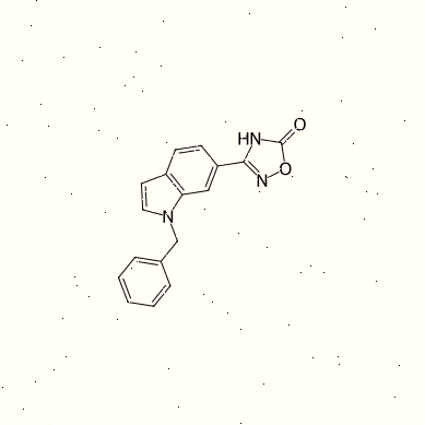 O=c1[nH]c(-c2ccc3ccn(Cc4ccccc4)c3c2)no1